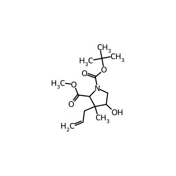 C=CCC1(C)C(O)CN(C(=O)OC(C)(C)C)C1C(=O)OC